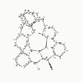 C[C@H](c1ccccc1)N([C@H](C)c1ccccc1)P1Oc2cccc3c2[C@]2(C4=CCCC=C4O3)c3ccccc3Oc3cccc(c32)O1